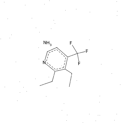 CCc1nccc(C(F)(F)F)c1CC.N